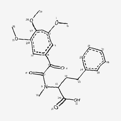 COc1cc(C(=O)C(=O)N(C)C(CCc2ccccc2)C(=O)O)cc(OC)c1OC